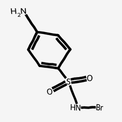 Nc1ccc(S(=O)(=O)NBr)cc1